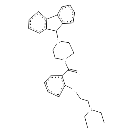 CCN(CC)CCOc1ccccc1C(=O)N1CCN(C2c3ccccc3-c3ccccc32)CC1